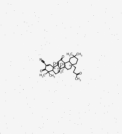 CC(=O)CC[C@]12CCC(C)(C)CC1C1C(=O)C=C3[C@@]4(C)C=C(C#N)C(=O)C(C)(C)C4CC[C@@]3(C)[C@]1(C)CC2